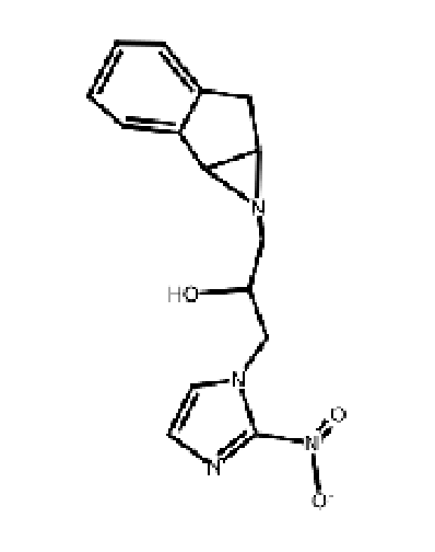 O=[N+]([O-])c1nccn1CC(O)CN1C2Cc3ccccc3C21